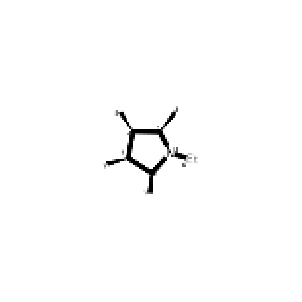 CCN1[C@H](C)[C@H](C)[C@H](C)[C@@H]1C